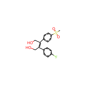 CS(=O)(=O)c1ccc(/C(CO)=C(/CO)c2ccc(F)cc2)cc1